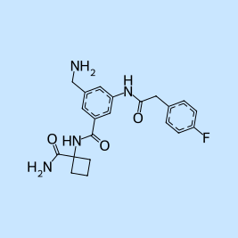 NCc1cc(NC(=O)Cc2ccc(F)cc2)cc(C(=O)NC2(C(N)=O)CCC2)c1